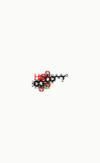 CC(C)=CCCc1ccc2c(c1)C(=O)C(O)=C(C1=C(Cl)C(=O)c3ccccc3C1=O)C2=O